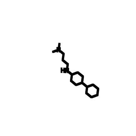 CN(C)CCCNC1CCC(C2CCCCC2)CC1